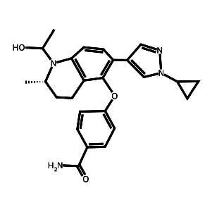 CC(O)N1c2ccc(-c3cnn(C4CC4)c3)c(Oc3ccc(C(N)=O)cc3)c2CC[C@@H]1C